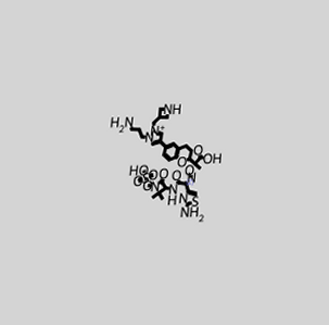 CC(O/N=C(\C(=O)NC1C(=O)N(OS(=O)(=O)O)C1(C)C)c1csc(N)n1)(C(=O)O)C1CCc2cc(-c3cn(CCCN)[n+](CC4CNC4)c3)ccc2O1